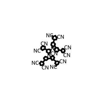 N#Cc1cc(C#N)cc(-c2cc(-n3c4ccc(-c5cc(C#N)cc(C#N)c5)cc4c4cc(-c5cc(C#N)cc(C#N)c5)ccc43)c(C#N)c(-n3c4ccc(-c5cc(C#N)cc(C#N)c5)cc4c4cc(-c5cc(C#N)cc(C#N)c5)ccc43)c2)c1